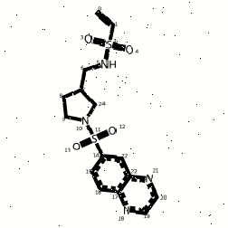 C=CS(=O)(=O)NCC1CCN(S(=O)(=O)c2ccc3nccnc3c2)C1